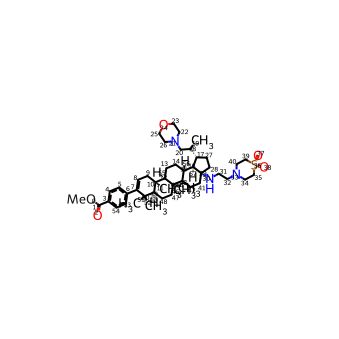 COC(=O)c1ccc(C2=CC[C@]3(C)[C@H]4CC[C@@H]5[C@H]6[C@H](C(C)CN7CCOCC7)CC[C@]6(NCCN6CCS(=O)(=O)CC6)CC[C@@]5(C)[C@]4(C)CC[C@H]3C2(C)C)cc1